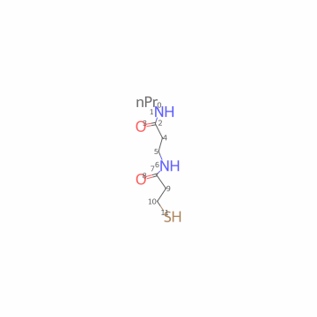 CCCNC(=O)CCNC(=O)CCS